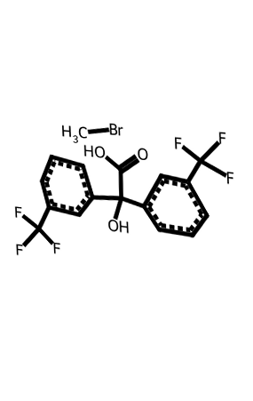 CBr.O=C(O)C(O)(c1cccc(C(F)(F)F)c1)c1cccc(C(F)(F)F)c1